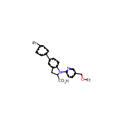 CCOCc1ccc(N2c3ccc(-c4ccc(C(C)C)cc4)cc3CC2C(=O)O)nc1